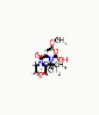 COCC[C@@H](C(=O)N1CCOCC1)N(C(=O)O)C(C)(C)C